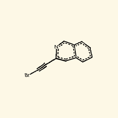 BrC#Cc1cc2ccccc2cn1